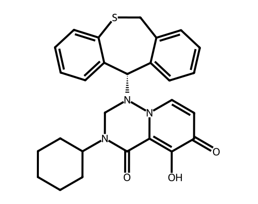 O=C1c2c(O)c(=O)ccn2N([C@H]2c3ccccc3CSc3ccccc32)CN1C1CCCCC1